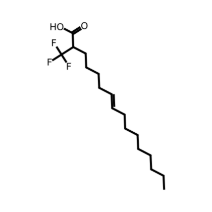 CCCCCCCC/C=C/CCCCC(C(=O)O)C(F)(F)F